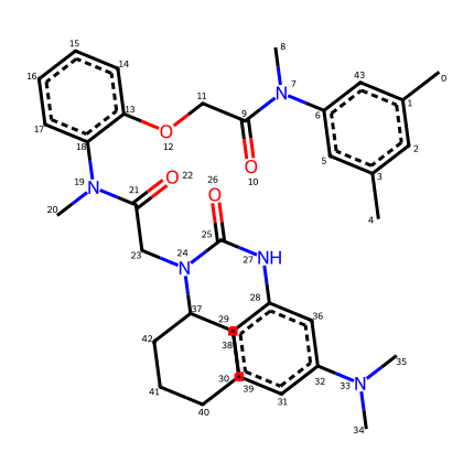 Cc1cc(C)cc(N(C)C(=O)COc2ccccc2N(C)C(=O)CN(C(=O)Nc2cccc(N(C)C)c2)C2CCCCC2)c1